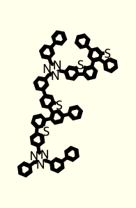 c1ccc(-c2cccc(-c3nc(-c4cccc(-c5ccc6c(c5)sc5c(-c7ccccc7)ccc(-c7cccc8c7sc7cc(-c9nc(-c%10ccccc%10)nc(-c%10cccc(-c%11ccccc%11)c%10)n9)ccc78)c56)c4)nc(-c4ccc5c(c4)sc4c(-c6cc(-c7ccccc7)cc7sc8ccccc8c67)cccc45)n3)c2)cc1